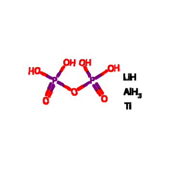 O=P(O)(O)OP(=O)(O)O.[AlH3].[LiH].[Ti]